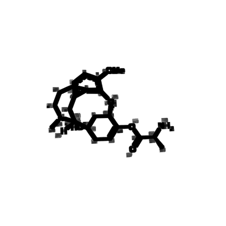 COc1ccc2c3c1O[C@@H]1C[C@@](O)(CC=C1OC(=O)[C@H](C)N)[C@@H](C2)N(C)CCC3